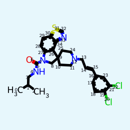 CC(C)CNC(=O)N1CC2(CCN(CC=Cc3ccc(Cl)c(Cl)c3)CC2)c2c1ccc1scnc21